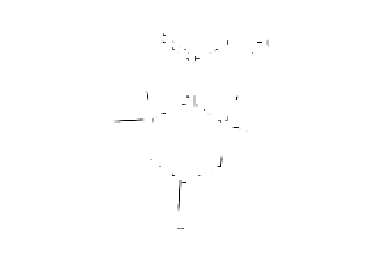 C=C(C(=O)OCC)N1C(C)(C)CC(=O)CC1(C)C